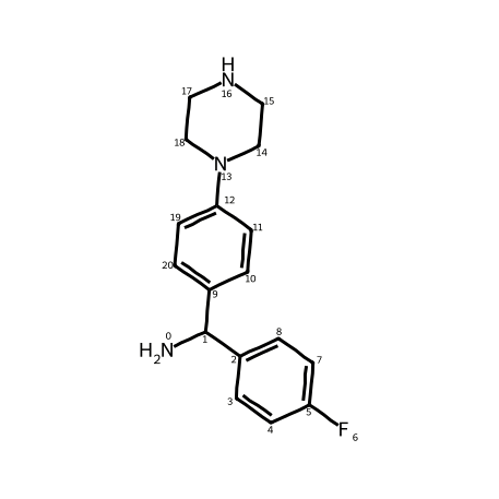 NC(c1ccc(F)cc1)c1ccc(N2CCNCC2)cc1